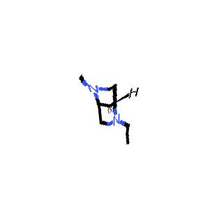 CCN1CC2[C@@H]1CN2C